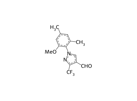 COc1cc(C)cc(C)c1-n1cc(C=O)c(C(F)(F)F)n1